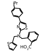 CC(C)c1ccc(-c2csc(N(Cc3cccs3)Cc3ccccc3C(=O)O)n2)cc1